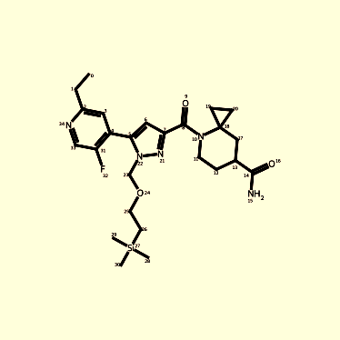 CCc1cc(-c2cc(C(=O)N3CCC(C(N)=O)CC34CC4)nn2COCC[Si](C)(C)C)c(F)cn1